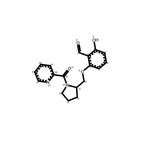 O=Cc1c(O)cccc1OCC1CCCN1C(=O)c1ccccn1